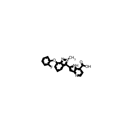 Cn1nc2c(Oc3ccccc3F)cccc2c1-c1cc2nccc(C(=O)O)c2[nH]1